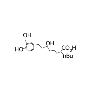 CCCCC(CCCC(O)CCc1ccc(O)c(CO)c1)C(=O)O